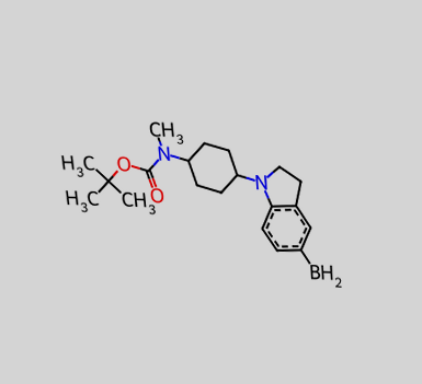 Bc1ccc2c(c1)CCN2C1CCC(N(C)C(=O)OC(C)(C)C)CC1